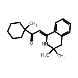 CC1(C)Cc2ccccc2C(=CC(=O)C2(C)CCCCC2)N1